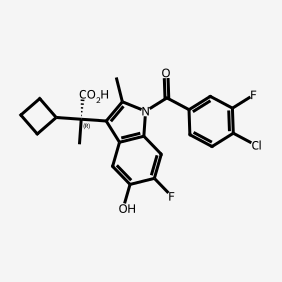 Cc1c([C@](C)(C(=O)O)C2CCC2)c2cc(O)c(F)cc2n1C(=O)c1ccc(Cl)c(F)c1